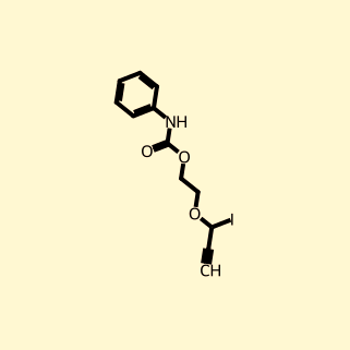 C#CC(I)OCCOC(=O)Nc1ccccc1